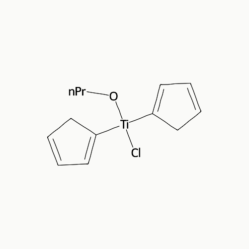 CCC[O][Ti]([Cl])([C]1=CC=CC1)[C]1=CC=CC1